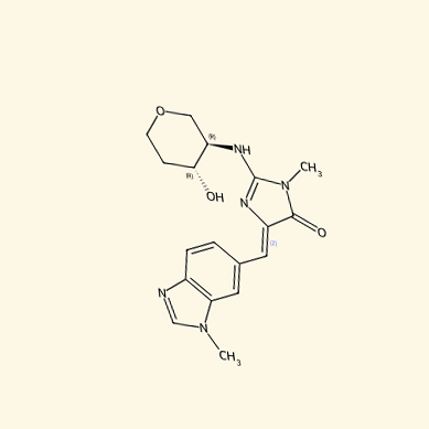 CN1C(=O)/C(=C/c2ccc3ncn(C)c3c2)N=C1N[C@@H]1COCC[C@H]1O